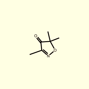 CC1=NOC(C)(C)C1=O